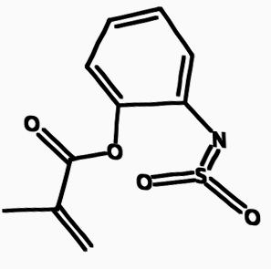 C=C(C)C(=O)Oc1ccccc1N=S(=O)=O